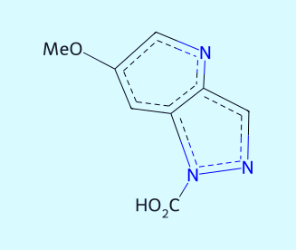 COc1cnc2cnn(C(=O)O)c2c1